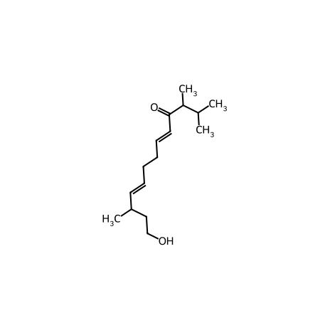 CC(/C=C/CC/C=C/C(=O)C(C)C(C)C)CCO